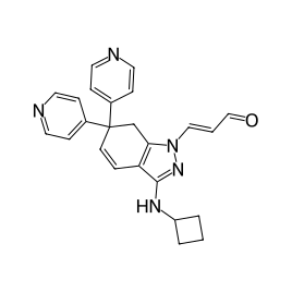 O=CC=Cn1nc(NC2CCC2)c2c1CC(c1ccncc1)(c1ccncc1)C=C2